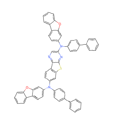 c1ccc(-c2ccc(N(c3ccc4c(c3)oc3ccccc34)c3ccc4c(c3)sc3nc(N(c5ccc(-c6ccccc6)cc5)c5ccc6c(c5)oc5ccccc56)cnc34)cc2)cc1